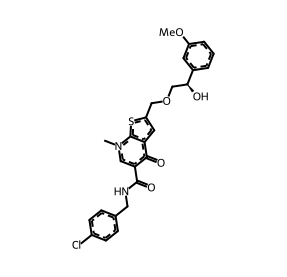 COc1cccc([C@@H](O)COCc2cc3c(=O)c(C(=O)NCc4ccc(Cl)cc4)cn(C)c3s2)c1